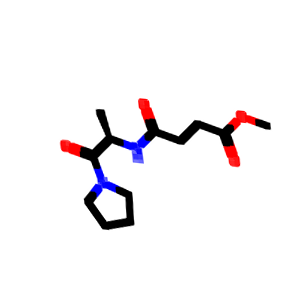 COC(=O)CCC(=O)N[C@H](C)C(=O)N1CCCC1